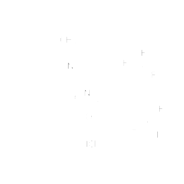 CCN1CCN(C(=O)c2cc(C(F)(F)F)cc(C(F)(F)F)c2)[C@H](Cc2ccccc2)C1.Cl